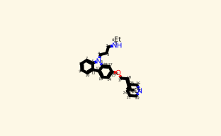 CCNCCCn1c2ccccc2c2ccc(OCC=C3CN4CCC3CC4)cc21